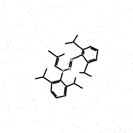 CC(C)=CN(/N=N/c1c(C(C)C)cccc1C(C)C)c1c(C(C)C)cccc1C(C)C